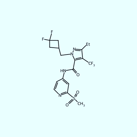 CCc1nn(CC2CC(F)(F)C2)c(C(=O)Nc2ccnc(S(C)(=O)=O)c2)c1C(F)(F)F